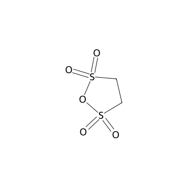 O=S1(=O)CCS(=O)(=O)O1